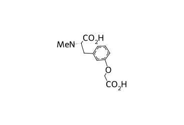 CN[C@@H](Cc1cccc(OCC(=O)O)c1)C(=O)O